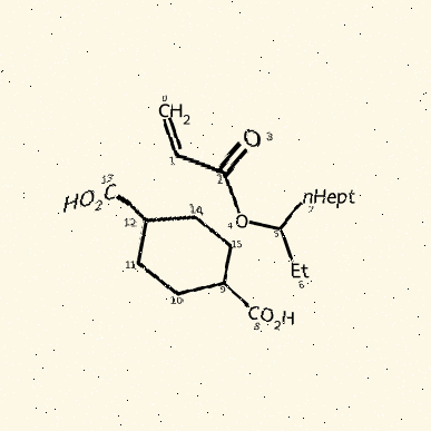 C=CC(=O)OC(CC)CCCCCCC.O=C(O)C1CCC(C(=O)O)CC1